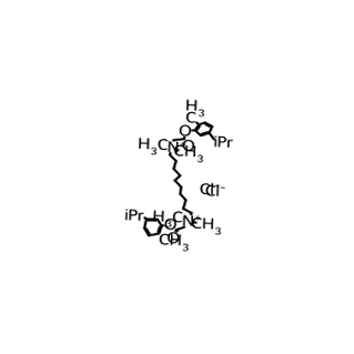 Cc1ccc(C(C)C)cc1OC(=O)C[N+](C)(C)CCCCCCCCCC[N+](C)(C)CC(=O)Oc1cc(C(C)C)ccc1C.[Cl-].[Cl-]